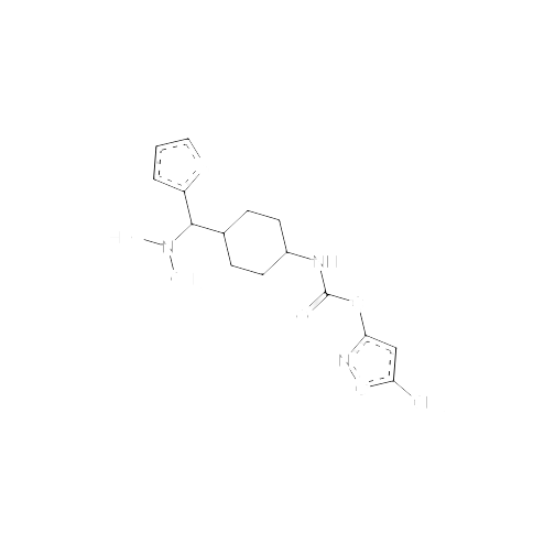 Cc1cc(OC(=O)NC2CCC(C(c3cccs3)N(C)C)CC2)no1